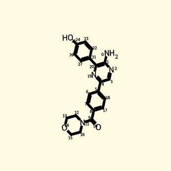 Nc1ncc(-c2ccc(C(=O)N3CCOCC3)cc2)nc1-c1ccc(O)cc1